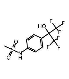 CS(=O)(=O)Nc1ccc(C(O)(C(F)(F)F)C(F)(F)F)cc1